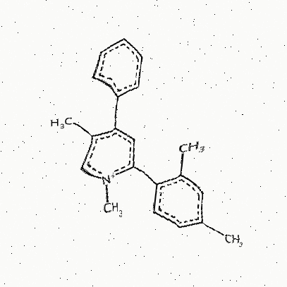 Cc1ccc(-c2cc(-c3ccccc3)c(C)c[n+]2C)c(C)c1